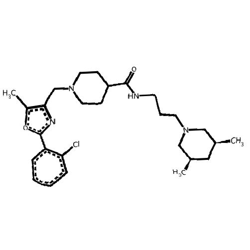 Cc1oc(-c2ccccc2Cl)nc1CN1CCC(C(=O)NCCCN2C[C@H](C)C[C@H](C)C2)CC1